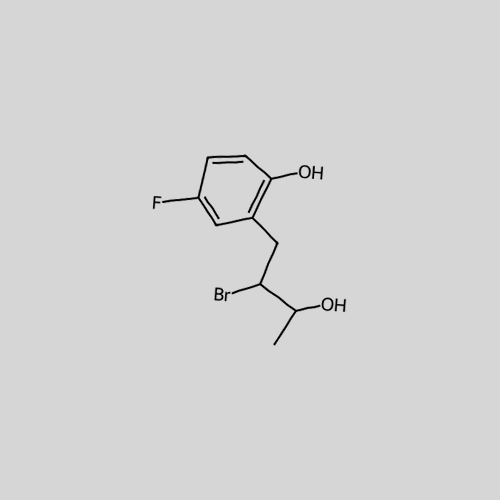 CC(O)C(Br)Cc1cc(F)ccc1O